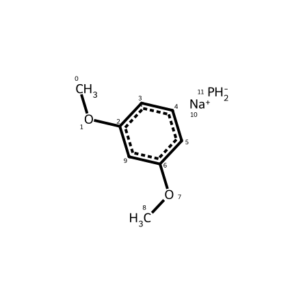 COc1[c]ccc(OC)c1.[Na+].[PH2-]